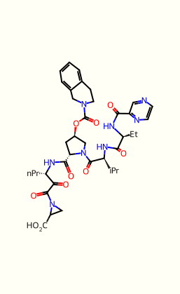 CCC[C@H](NC(=O)[C@@H]1C[C@@H](OC(=O)N2CCc3ccccc3C2)CN1C(=O)[C@@H](NC(=O)[C@H](CC)NC(=O)c1cnccn1)C(C)C)C(=O)C(=O)N1CC1C(=O)O